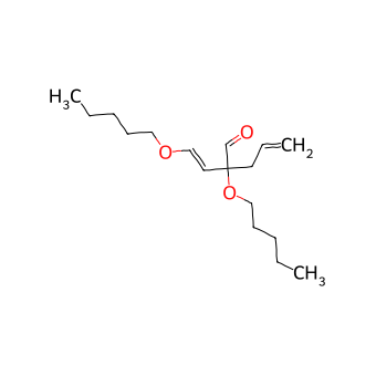 C=CCC(C=O)(/C=C/OCCCCC)OCCCCC